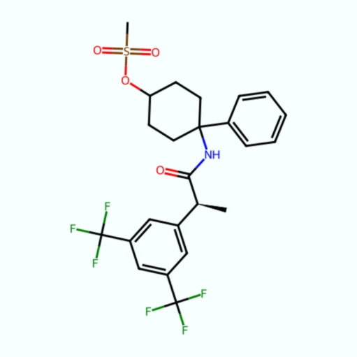 C[C@H](C(=O)NC1(c2ccccc2)CCC(OS(C)(=O)=O)CC1)c1cc(C(F)(F)F)cc(C(F)(F)F)c1